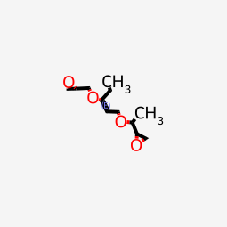 CC/C(=C\COC(C)C1CO1)OCC1CO1